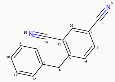 N#Cc1ccc(Cc2ccccc2)c(C#N)c1